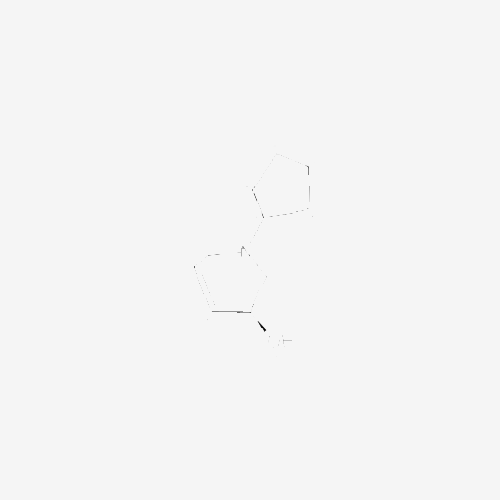 O[C@H]1C=CCN(C2CCCC2)C1